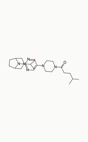 CC(C)CCC(=O)N1CCN(c2cnc(N3C4CCC3CN(C(C)C)C4)nc2)CC1